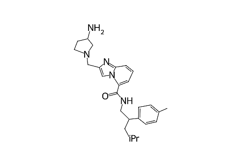 Cc1ccc(C(CNC(=O)c2cccc3nc(CN4CCC(N)C4)cn23)CC(C)C)cc1